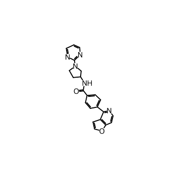 O=C(NC1CCN(c2ncccn2)C1)c1ccc(-c2nccc3occc23)cc1